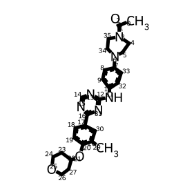 CC(=O)N1CCN(c2ccc(Nc3ncnc(-c4ccc(OC5CCOCC5)c(C)c4)n3)cc2)CC1